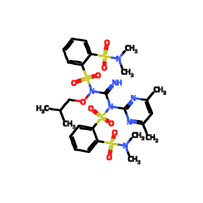 Cc1cc(C)nc(N(C(=N)N(OCC(C)C)S(=O)(=O)c2ccccc2S(=O)(=O)N(C)C)S(=O)(=O)c2ccccc2S(=O)(=O)N(C)C)n1